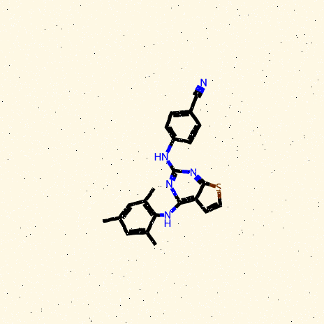 Cc1cc(C)c(Nc2nc(Nc3ccc(C#N)cc3)nc3sccc23)c(C)c1